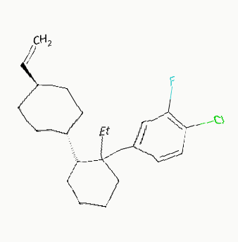 C=C[C@H]1CC[C@H](C2CCCCC2(CC)c2ccc(Cl)c(F)c2)CC1